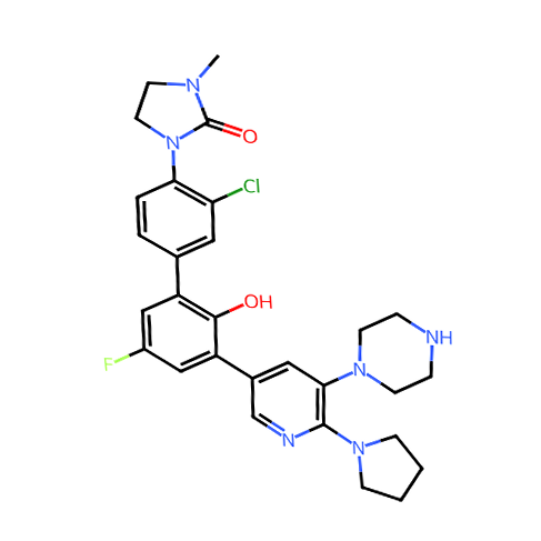 CN1CCN(c2ccc(-c3cc(F)cc(-c4cnc(N5CCCC5)c(N5CCNCC5)c4)c3O)cc2Cl)C1=O